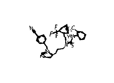 Cc1ccccc1NC(=S)N(CCCc1cncn1Cc1ccc(C#N)cc1)Cc1ccccc1C(F)(F)F